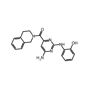 Nc1cc(C(=O)N2CCc3ccccc3C2)nc(Nc2ccccc2O)n1